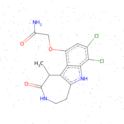 CC1C(=O)NCCc2[nH]c3c(Cl)c(Cl)cc(OCC(N)=O)c3c21